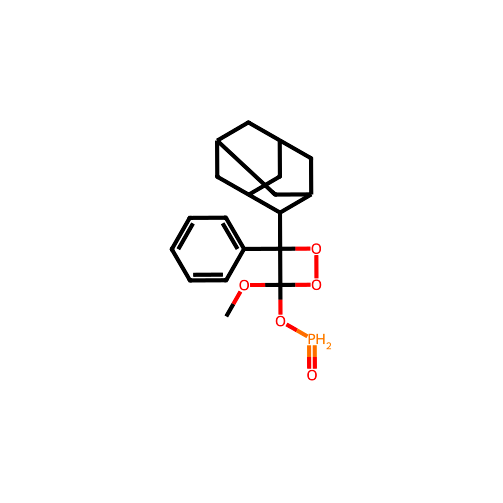 COC1(O[PH2]=O)OOC1(c1ccccc1)C1C2CC3CC(C2)CC1C3